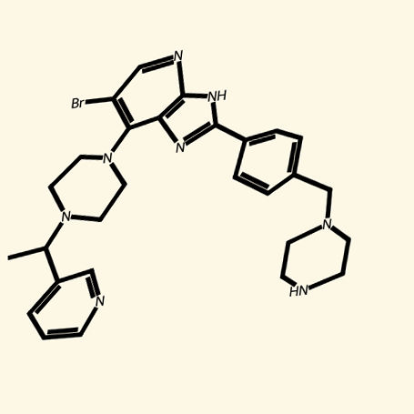 CC(c1cccnc1)N1CCN(c2c(Br)cnc3[nH]c(-c4ccc(CN5CCNCC5)cc4)nc23)CC1